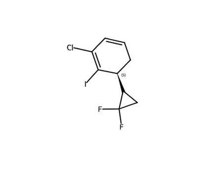 FC1(F)CC1[C@@H]1CC=CC(Cl)=C1I